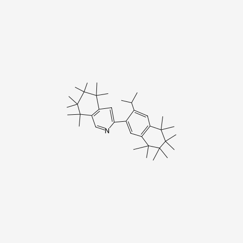 CC(C)c1cc2c(cc1-c1cc3c(cn1)C(C)(C)C(C)(C)C(C)(C)C3(C)C)C(C)(C)C(C)(C)C(C)(C)C2(C)C